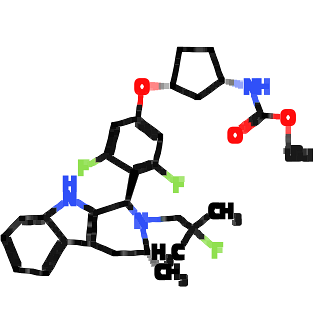 C[C@@H]1Cc2c([nH]c3ccccc23)[C@@H](c2c(F)cc(O[C@@H]3CC[C@H](NC(=O)OC(C)(C)C)C3)cc2F)N1CC(C)(C)F